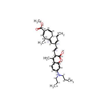 C=C/C=C(/C=C/c1c(C)c2ccc(N(CCC)CCC)cc2oc1=O)\C=C1/CC=CC(C(=O)OC)=C[C@@H]1C